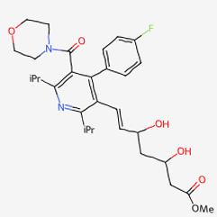 COC(=O)CC(O)CC(O)C=Cc1c(C(C)C)nc(C(C)C)c(C(=O)N2CCOCC2)c1-c1ccc(F)cc1